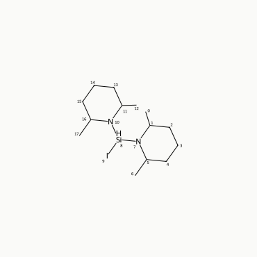 CC1CCCC(C)N1[SiH](I)N1C(C)CCCC1C